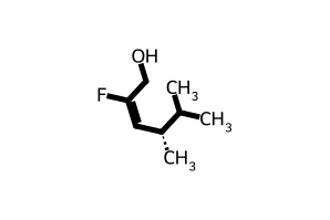 CC(C)[C@H](C)/C=C(/F)CO